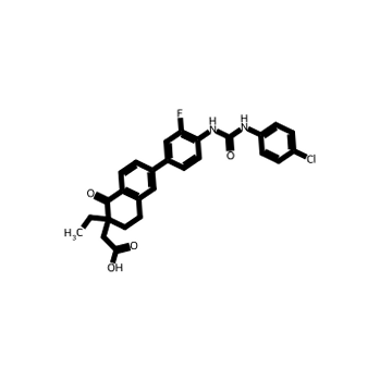 CCC1(CC(=O)O)CCc2cc(-c3ccc(NC(=O)Nc4ccc(Cl)cc4)c(F)c3)ccc2C1=O